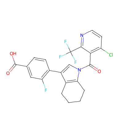 O=C(O)c1ccc(-c2cn(C(=O)c3c(Cl)ccnc3C(F)(F)F)c3c2CCCC3)c(F)c1